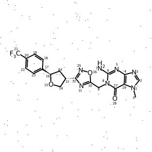 Cn1cnc2nc(N)n(Cc3nc([C@@H]4CO[C@@H](c5ccc(C(F)(F)F)cc5)C4)no3)c(=O)c21